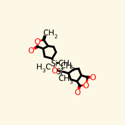 C=C1OC(=O)C2CC([Si](C)(C)O[Si](C)(C)C3CCC4C(=O)OC(=O)C4C3)CCC12